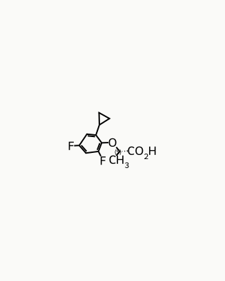 C[C@H](Oc1c(F)cc(F)cc1C1CC1)C(=O)O